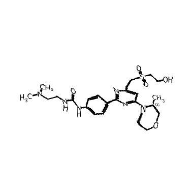 C[C@H]1COCCN1c1cc(CS(=O)(=O)CCO)nc(-c2ccc(NC(=O)NCCN(C)C)cc2)n1